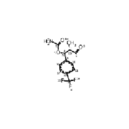 C[C@H](C=O)[C@H](OC(N)=O)c1ccc(C(F)(F)F)cc1